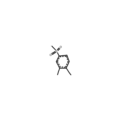 [CH2]S(=O)(=O)c1ccc(C)c(C)c1